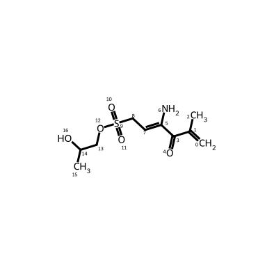 C=C(C)C(=O)C(N)=CCS(=O)(=O)OCC(C)O